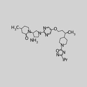 CC1CCN([C@H]2CN(c3ncc(OCC[C@@H](C)C4CCN(c5nc(C(C)C)no5)CC4)cn3)C[C@@H]2N)C(=O)C1